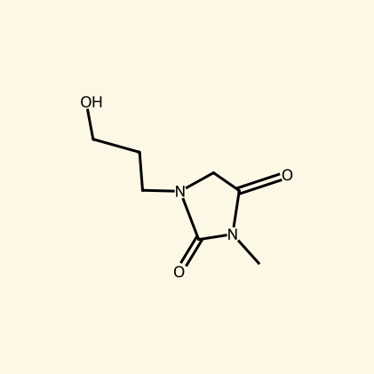 CN1C(=O)CN(CCCO)C1=O